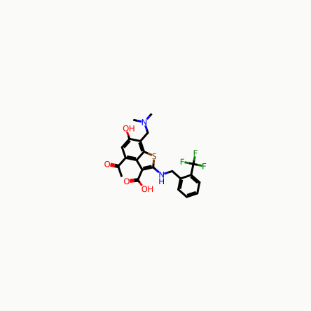 CC(=O)c1cc(O)c(CN(C)C)c2sc(NCc3ccccc3C(F)(F)F)c(C(=O)O)c12